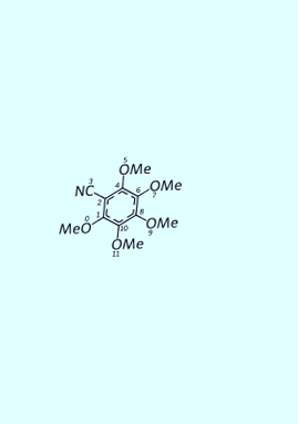 COc1c(C#N)c(OC)c(OC)c(OC)c1OC